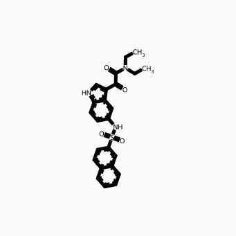 CCN(CC)C(=O)C(=O)c1c[nH]c2ccc(NS(=O)(=O)c3ccc4ccccc4c3)cc12